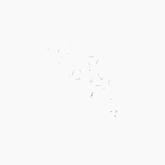 CC(C)(C)OC(=O)N1CCN(c2ccc(Nc3nc(Cc4c(Cl)cccc4Cl)c4ncn(COCC[Si](C)(C)C)c4c3C#N)c(F)c2)CC1